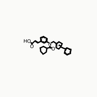 O=C(O)/C=C/c1cccc(N(CC23CCC(c4ccccc4)(CC2)CC3)C(=O)C2CCCCC2)c1